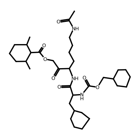 CC(=O)NCCCCC(NC(=O)C(CC1CCCCC1)NC(=O)OCC1CCCCC1)C(=O)COC(=O)C1C(C)CCCC1C